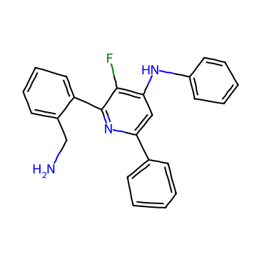 NCc1ccccc1-c1nc(-c2ccccc2)cc(Nc2ccccc2)c1F